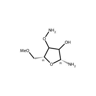 COC[C@H]1O[C@@H](N)C(O)C1ON